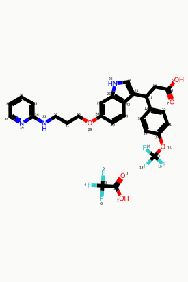 O=C(O)C(F)(F)F.O=C(O)CC(c1ccc(OC(F)(F)F)cc1)c1c[nH]c2cc(OCCCNc3ccccn3)ccc12